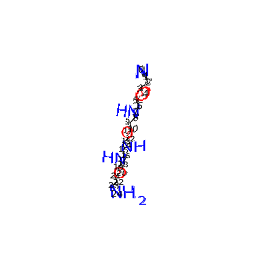 N#CCCOCCNCCCOCCNCCNCCOCCCN